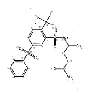 CC(COC(N)=O)NS(=O)(=O)c1cc(S(=O)(=O)c2ccccc2)ccc1C(F)(F)F